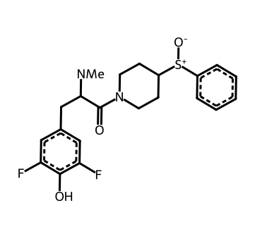 CNC(Cc1cc(F)c(O)c(F)c1)C(=O)N1CCC([S+]([O-])c2ccccc2)CC1